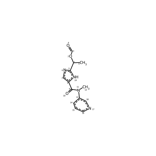 CC(OC=O)c1ncc(C(=O)N(C)c2cccnc2)[nH]1